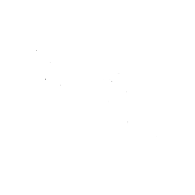 CCc1c(N2CCN(C(=O)c3ncnc(C)c3O)CC2)c(=O)n2nc(C3=CCCCO3)nc2n1CC(=O)Nc1ccc(C(F)(F)F)nc1C